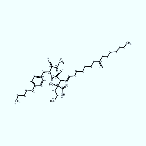 CCCCCCCC(=O)CCCCCC/C=C/[C@H](C(=O)N[C@@H](Cc1ccc(OCCCC)cc1)C(=O)NC)[C@@](O)(CCC)C(=O)O